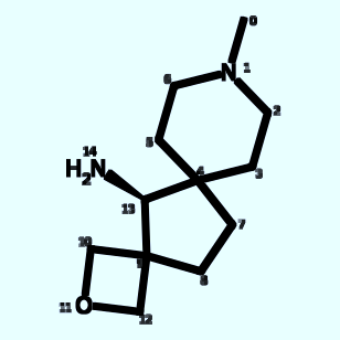 CN1CCC2(CC1)CCC1(COC1)[C@H]2N